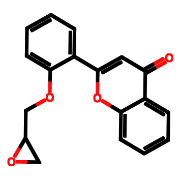 O=c1cc(-c2ccccc2OCC2CO2)oc2ccccc12